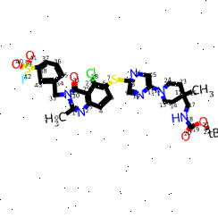 Cc1nc2ccc(Sc3cnc(N4CCC(C)(CNC(=O)OC(C)(C)C)CC4)cn3)c(Cl)c2c(=O)n1Cc1cccc(S(=O)(=O)F)c1